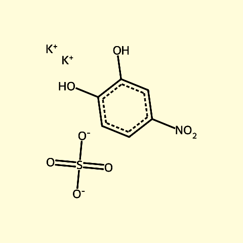 O=S(=O)([O-])[O-].O=[N+]([O-])c1ccc(O)c(O)c1.[K+].[K+]